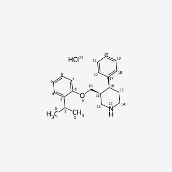 CC(C)c1ccccc1OC[C@@H]1CNCC[C@@H]1c1ccccc1.Cl